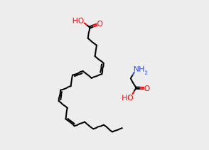 CCCCC/C=C\C/C=C\C/C=C\C/C=C\CCCC(=O)O.NCC(=O)O